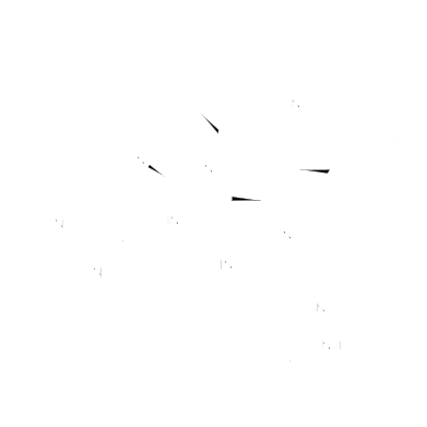 C=C/N=C\[C@@H](CCCl)[C@H]1N=C(c2n[nH]c(=O)o2)N[C@H]2N[C@@H](N3CCCC3c3nc(C)no3)N(C[C@H]3CC[C@H](C)CC3)C21